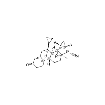 C[C@]12CC[C@H]3[C@H]([C@@H]1[C@@H]1C[C@@H]1[C@@H]2C#N)[C@H](C1CC1)CC1=CC(=O)CC[C@@H]13